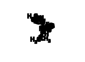 CN(C)CCCOc1ncc(-c2ccc3ncc4c(c3c2)C2(CC2)C(=O)N4C)cc1NS(=O)(=O)c1ccccc1F